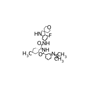 CS(C)=Nc1cccc(C(=O)N[C@H](C(=O)Nc2cc(F)c3c(c2)NCC32CCOCC2)[C@H]2CC[C@H](C)CC2)c1